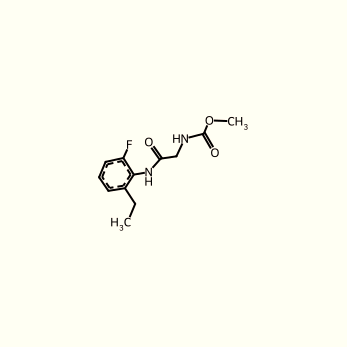 CCc1cccc(F)c1NC(=O)CNC(=O)OC